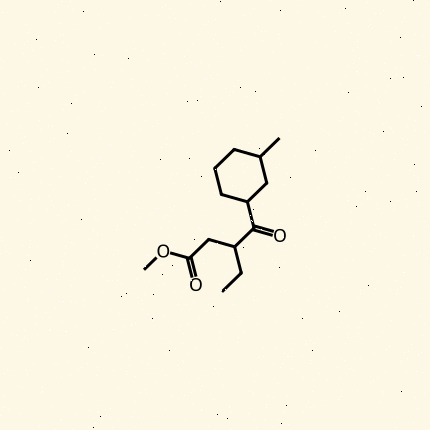 CCC(CC(=O)OC)C(=O)C1CCCC(C)C1